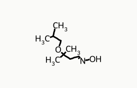 CC(C)COC(C)(C)CC=NO